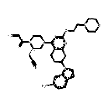 C=CC(=O)N1CCN(c2nc(OCCN3CCOCC3)nc3c2CCC(n2ccc4ccc(C)cc42)C3)C[C@@H]1CC#N